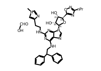 CCCc1noc([C@H]2O[C@@H](n3cnc4c(NCC(c5ccccc5)c5ccccc5)nc(NCCc5cn(C)cn5)nc43)[C@H](O)[C@@H]2O)n1.O=CO